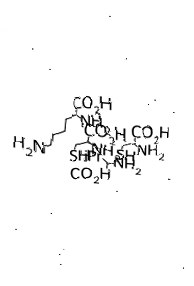 CC(C)C(N)C(=O)O.NC(CS)C(=O)O.NC(CS)C(=O)O.NCCCCC(N)C(=O)O